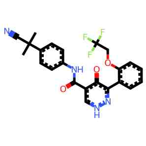 CC(C)(C#N)c1ccc(NC(=O)c2c[nH]nc(-c3ccccc3OCC(F)(F)F)c2=O)cc1